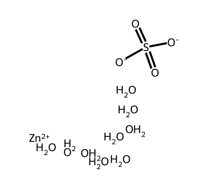 O.O.O.O.O.O.O.O.O.O=S(=O)([O-])[O-].[Zn+2]